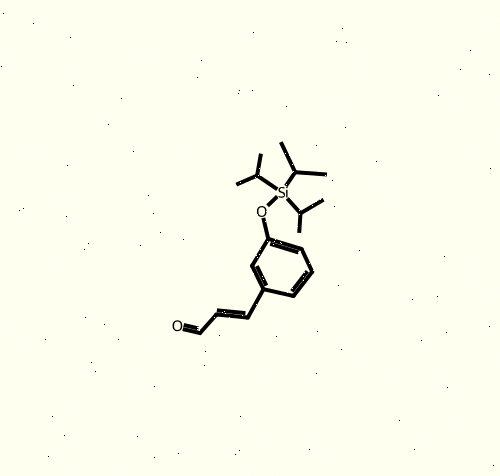 CC(C)[Si](Oc1cccc(C=CC=O)c1)(C(C)C)C(C)C